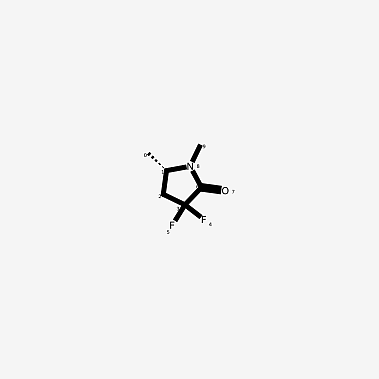 C[C@H]1CC(F)(F)C(=O)N1C